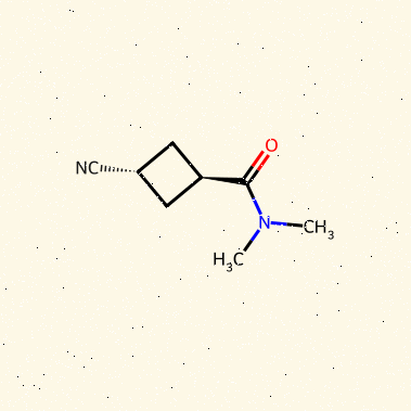 CN(C)C(=O)[C@H]1C[C@H](C#N)C1